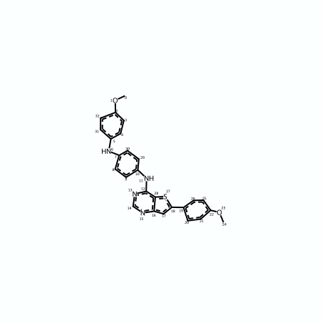 COc1ccc(Nc2ccc(Nc3ncnc4cc(-c5ccc(OC)cc5)sc34)cc2)cc1